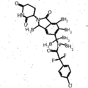 Bc1c(C(B)(B)N(B)C(=O)C(F)(F)c2ccc(Cl)cc2)cc2c(c1B)C(=O)N(C1CCC(=O)NC1=O)C2B